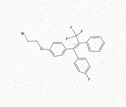 Fc1ccc(/C(=C(\c2ccccc2)C(F)(F)F)c2ccc(OCCBr)cc2)cc1